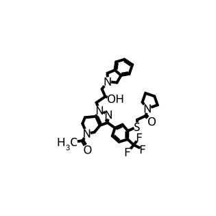 CC(=O)N1CCc2c(c(-c3ccc(C(F)(F)F)c(SCC(=O)N4CCCC4)c3)nn2CC(O)CN2Cc3ccccc3C2)C1